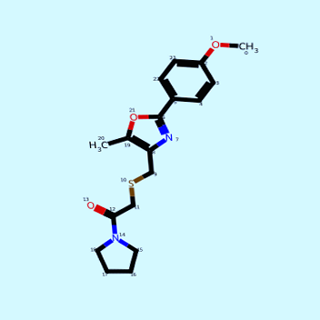 COc1ccc(-c2nc(CSCC(=O)N3CCCC3)c(C)o2)cc1